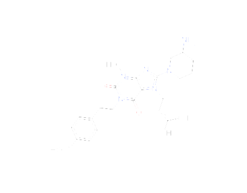 CC(C)=CCn1c(N2CCCC(N)C2)nc2c1c(=O)n(CCc1ccc(C(=O)O)cc1)c(=O)n2C